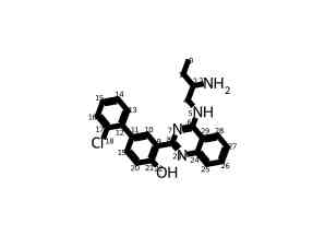 CCC(N)CNc1nc(-c2cc(-c3ccccc3Cl)ccc2O)nc2ccccc12